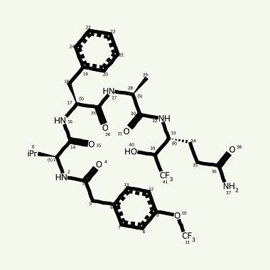 CC(C)[C@H](NC(=O)Cc1ccc(OC(F)(F)F)cc1)C(=O)N[C@@H](Cc1ccccc1)C(=O)N[C@@H](C)C(=O)N[C@H](CCC(N)=O)C(O)C(F)(F)F